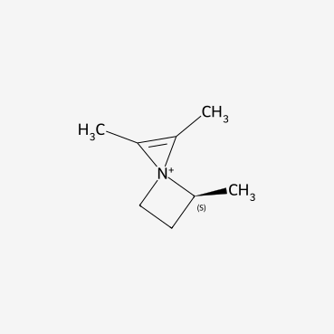 CC1=C(C)[N+]12CC[C@@H]2C